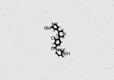 CC1CCN(C(=O)c2ccc(-c3cncc(-c4ccnc(C(C)(C)C)c4)c3)c(Cl)c2)CC1(C)O